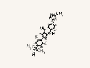 Cc1noc(-c2ccc(Nc3sc(-c4c(F)cc(C(C)(C)O)cc4F)cc3C=O)cc2)n1